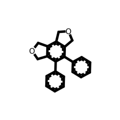 c1ccc(-c2c3c(c4c(c2-c2ccccc2)COC4)COC3)cc1